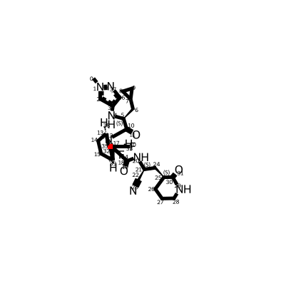 Cn1cc(N[C@@H](CC2CC2)C(=O)N2[C@@H]3CC[C@H]([C@@H]2C(=O)N[C@H](C#N)C[C@@H]2CCCNC2=O)C(F)(F)C3)cn1